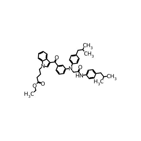 CCOC(=O)CCCn1cc(C(=O)c2cccc(N(CC(=O)Nc3ccc(CC(C)C)cc3)c3ccc(CC(C)C)cc3)c2)c2ccccc21